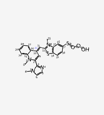 CN1C(c2nccn2C)=C/C(=C\c2sc3ccc(SOOO)cc3[n+]2C)c2ccccc21